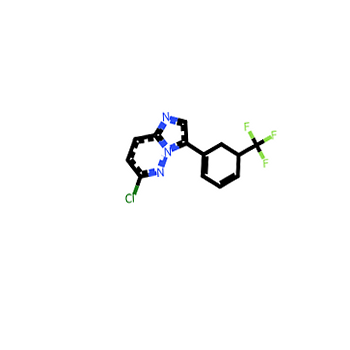 FC(F)(F)C1C=CC=C(c2cnc3ccc(Cl)nn23)C1